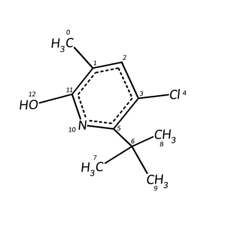 Cc1cc(Cl)c(C(C)(C)C)nc1O